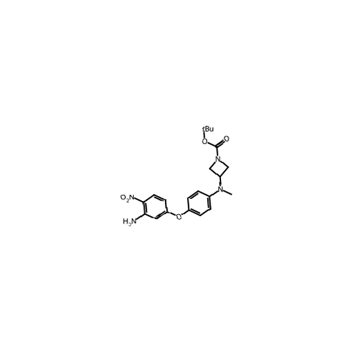 CN(c1ccc(Oc2ccc([N+](=O)[O-])c(N)c2)cc1)C1CN(C(=O)OC(C)(C)C)C1